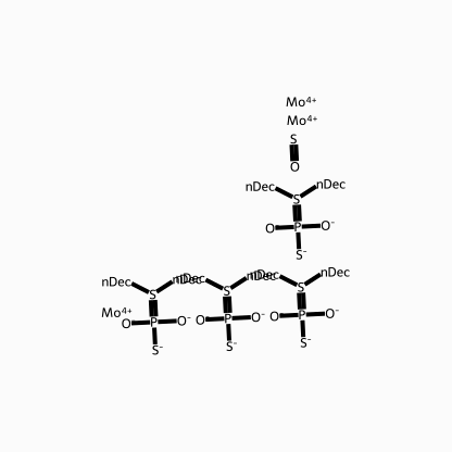 CCCCCCCCCCS(CCCCCCCCCC)=P([O-])([O-])[S-].CCCCCCCCCCS(CCCCCCCCCC)=P([O-])([O-])[S-].CCCCCCCCCCS(CCCCCCCCCC)=P([O-])([O-])[S-].CCCCCCCCCCS(CCCCCCCCCC)=P([O-])([O-])[S-].O=S.[Mo+4].[Mo+4].[Mo+4]